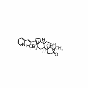 C/C(=C\c1ccccn1)[C@H]1CC[C@H]2[C@@H]3CC[C@H]4N(C)C(=O)CC[C@]4(C)[C@H]3CC[C@]12C